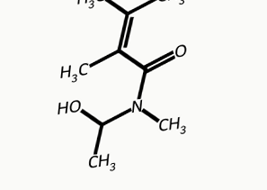 CC(C)=C(C)C(=O)N(C)C(C)O